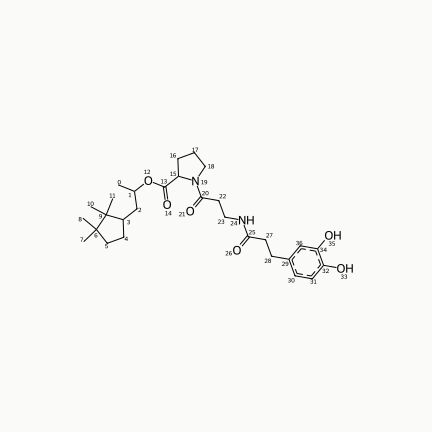 CC(CC1CCC(C)(C)C1(C)C)OC(=O)C1CCCN1C(=O)CCNC(=O)CCc1ccc(O)c(O)c1